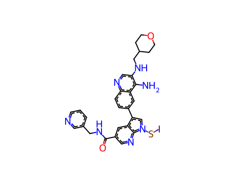 Nc1c(NCC2CCOCC2)cnc2ccc(-c3cn(SI)c4ncc(C(=O)NCc5cccnc5)cc34)cc12